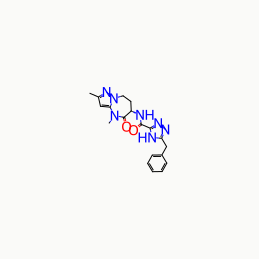 Cc1cc2n(n1)CC[C@@H](NC(=O)c1nnc(Cc3ccccc3)[nH]1)C(=O)N2C